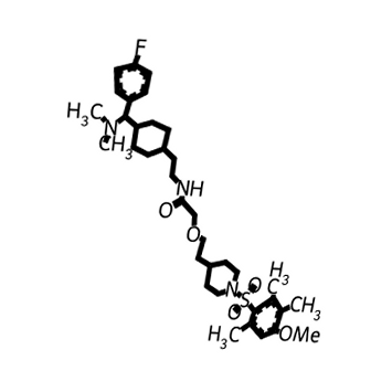 COc1cc(C)c(S(=O)(=O)N2CCC(CCOCC(=O)NCCC3CCC(C(c4ccc(F)cc4)N(C)C)CC3)CC2)c(C)c1C